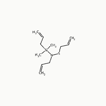 C=CCSN(CC=C)[Si](C)(C)CC=C